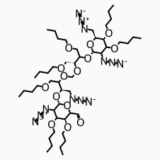 CCCCOCC(O[C@H]1O[C@@H](CN=[N+]=[N-])[C@@H](OCCCC)C(OCCCC)C1N=[N+]=[N-])[C@@H](COCCCC)OCOC(COCCCC)[C@@H](CN=[N+]=[N-])O[C@H]1OC(C=O)[C@@H](OCCCC)C(OCCCC)C1N=[N+]=[N-]